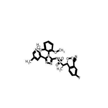 COc1cccc(OC)c1-n1c(NS(=O)(=O)[C@@H](C)[C@H](OC)c2ccc(F)cc2C#N)nnc1-c1cncc(C)c1